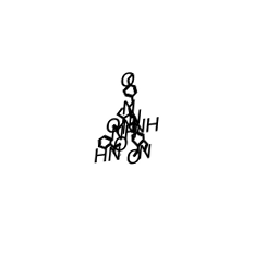 CNC(=O)c1ccccc1NC(=O)c1nc(Nc2ccc3c(c2)C=NC3=O)nc2c1CCN2Cc1ccc(OC)cc1